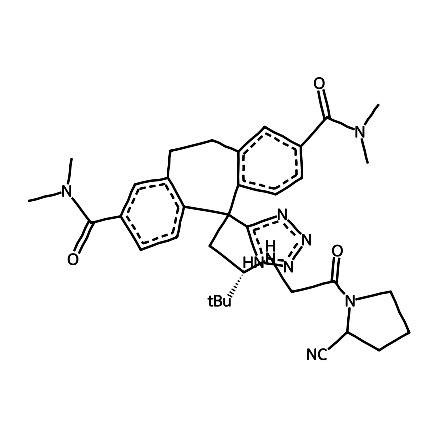 CN(C)C(=O)c1ccc2c(c1)CCc1cc(C(=O)N(C)C)ccc1C2(C[C@H](NCC(=O)N1CCCC1C#N)C(C)(C)C)c1nnn[nH]1